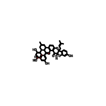 CC(C)=CCC12Oc3ccc(C4C=C(C)CC(c5ccc(O)cc5O)C4C(=O)c4cc(O)cc(O)c4)c(O)c3C(=O)C1(O)Oc1cc(O)ccc12